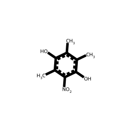 Cc1c(C)c(O)c([N+](=O)[O-])c(C)c1O